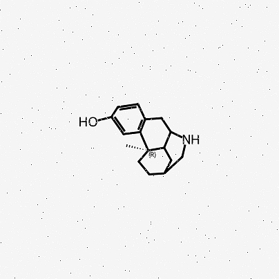 C[C@]12CCC3CNC(Cc4ccc(O)cc41)C2C3